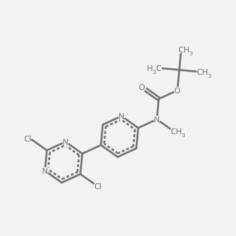 CN(C(=O)OC(C)(C)C)c1ccc(-c2nc(Cl)ncc2Cl)cn1